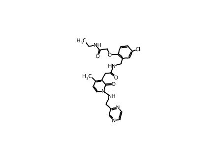 CCNC(=O)COc1ccc(Cl)cc1CNC(=O)Cc1c(C)ccn(NCc2cnccn2)c1=O